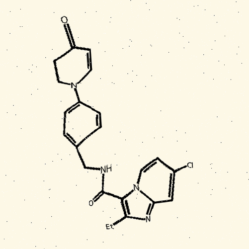 CCc1nc2cc(Cl)ccn2c1C(=O)NCc1ccc(N2C=CC(=O)CC2)cc1